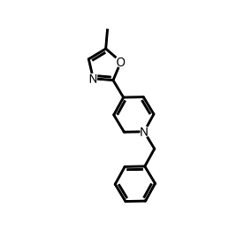 Cc1cnc(C2=CCN(Cc3ccccc3)C=C2)o1